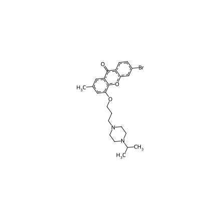 Cc1cc(OCCCN2CCN(C(C)C)CC2)c2oc3cc(Br)ccc3c(=O)c2c1